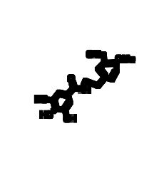 COc1ccc(CCNC(=O)c2cc(O)c(O)c(O)c2)cc1OC